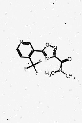 CN(C)C(=O)c1noc(-c2cnccc2C(F)(F)F)n1